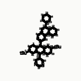 CC(C)(C)c1ccc2c(-c3ccc4cc(-c5ccccc5)c5ccccc5c4c3)c3cc(C(C)(C)C)ccc3c(-c3cncnc3)c2c1